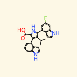 CC(C)c1c(-c2cc(F)cc3[nH]ccc23)[nH]c(C(=O)O)c1-c1cccc2[nH]ccc12